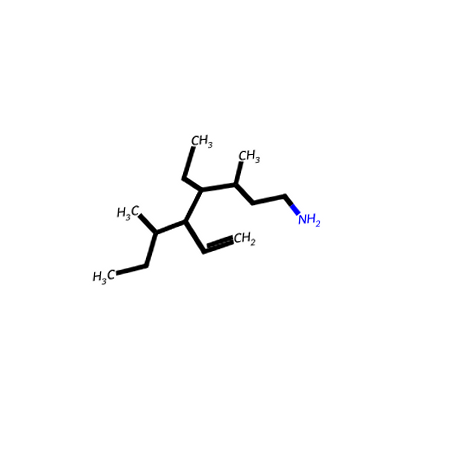 C=CC(C(C)CC)C(CC)C(C)CCN